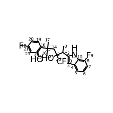 CC(c1cc2cccc(F)c2[nH]1)C(O)(CC(C)(C)c1ccc(F)cc1O)C(F)(F)F